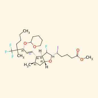 CCCCC(C)([C@@H](/C=C/[C@@H]1[C@H]2C(F)[C@H](C(I)CCCC(=O)OC)O[C@@H]2C[C@H]1C)OC1CCCCO1)C(F)(F)F